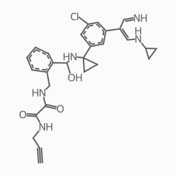 C#CCNC(=O)C(=O)NCc1ccccc1C(O)NC1(c2cc(Cl)cc(/C(C=N)=C/NC3CC3)c2)CC1